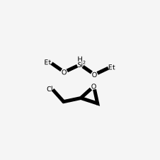 CCO[SiH2]OCC.ClCC1CO1